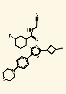 N#CCNC(=O)C1C[C@@H](F)CC[C@H]1c1nc(C2CC(F)C2)sc1-c1ccc(N2CCSCC2)cc1